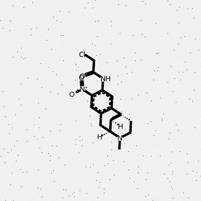 CN1CC[C@@]23CCCC[C@@H]2[C@@H]1Cc1cc([N+](=O)[O-])c(NC(=O)CCl)cc13